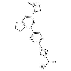 C[C@H]1CCN1c1nc2c(c(-c3ccc(C45CC(C(N)=O)(C4)C5)cc3)n1)CCC2